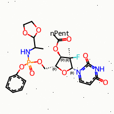 CCCCCC(=O)O[C@@H]1[C@@H](COP(=O)(NC(C)C2OCCO2)Oc2ccccc2)O[C@@H](n2ccc(=O)[nH]c2=O)[C@]1(C)F